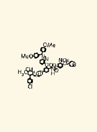 COc1ccc(C(c2ccc(OC)cc2)n2cnc3c(Oc4cc(N5CCN(CC6=C(c7ccc(Cl)cc7)CC(C)(C)CC6)CC5)ccc4C(=O)NS(=O)(=O)c4ccc(OCC5(F)CCOCC5)c([N+](=O)[O-])c4)cccc32)cc1